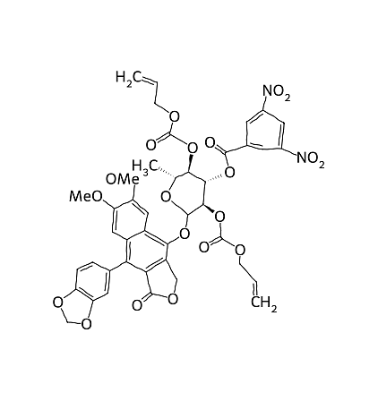 C=CCOC(=O)O[C@H]1[C@H](OC(=O)c2cc([N+](=O)[O-])cc([N+](=O)[O-])c2)[C@@H](OC(=O)OCC=C)C(Oc2c3c(c(-c4ccc5c(c4)OCO5)c4cc(OC)c(OC)cc24)C(=O)OC3)O[C@@H]1C